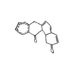 O=C1C=CC2=CC=C3Cc4ccccc4C(=O)C3C2C1